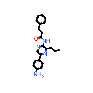 CCCc1nc(-c2ccc(N)cc2)cnc1NC(=O)CCc1ccccc1